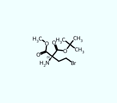 COC(=O)[C@@](N)(CCBr)C(=O)OC(C)(C)C